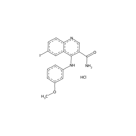 COc1cccc(Nc2c(C(N)=O)cnc3ccc(I)cc23)c1.Cl